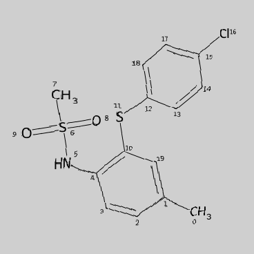 Cc1ccc(NS(C)(=O)=O)c(Sc2ccc(Cl)cc2)c1